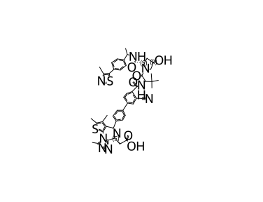 Cc1ncsc1-c1ccc(C(C)NC(=O)[C@@H]2C[C@@H](O)CN2C(=O)C(NC(=O)c2ccc(-c3ccc(C4=N[C@@H](CC(=O)O)c5nnc(C)n5-c5sc(C)c(C)c54)cc3)cc2C#N)C(C)(C)C)cc1